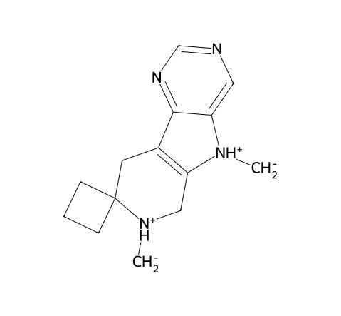 [CH2-][NH+]1C2=C(CC3(CCC3)[NH+]([CH2-])C2)c2ncncc21